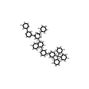 c1ccc(-c2cccc(-c3cc(-c4ccc(-c5cccc(-c6ccc7c(c6)-c6ccccc6C7(c6ccccc6)c6ccccc6)c5)c5ccccc45)nc(-c4ccccc4)n3)c2)cc1